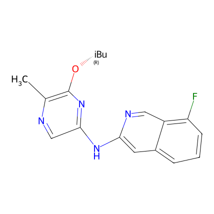 CC[C@@H](C)Oc1nc(Nc2cc3cccc(F)c3cn2)cnc1C